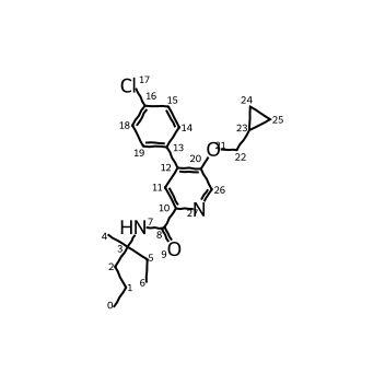 CCCC(C)(CC)NC(=O)c1cc(-c2ccc(Cl)cc2)c(OCC2CC2)cn1